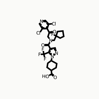 O=C(CN(CC1(F)CCCC1)C(=O)c1cnn(C2CCC(C(=O)O)CC2)c1C(F)(F)F)c1c(Cl)cncc1Cl